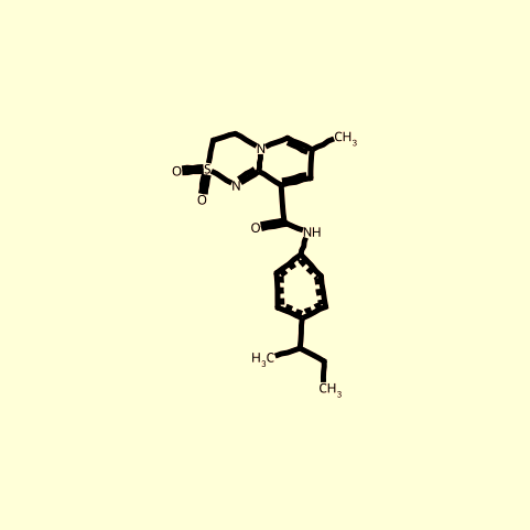 CCC(C)c1ccc(NC(=O)C2=CC(C)=CN3CCS(=O)(=O)N=C23)cc1